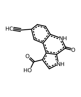 C#Cc1ccc2[nH]c(=O)c3[nH]cc(C(=O)O)c3c2c1